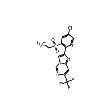 CCS(=O)(=O)c1cc(Cl)cnc1-c1cn2cnc(C(F)(F)F)cc2n1